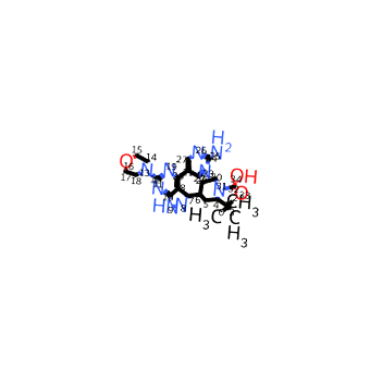 CC(C)(C)C1CC(c2n[nH]c3nc(N4CCOCC4)nc(-c4cnc(N)nc4)c23)CCN1C(=O)O